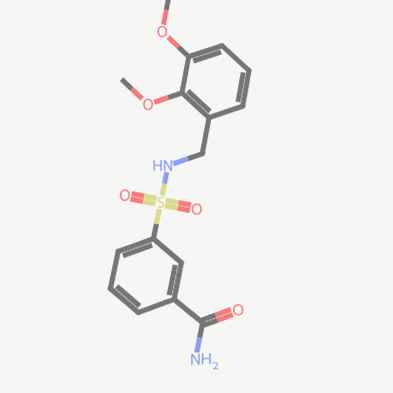 COc1cccc(CNS(=O)(=O)c2cccc(C(N)=O)c2)c1OC